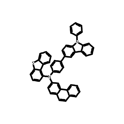 c1ccc(-n2c3ccccc3c3cc(-c4ccc(N(c5ccc6ccc7ccccc7c6c5)c5cccc6sc7ccccc7c56)cc4)ccc32)cc1